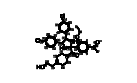 CCOc1cc([S+](C)[O-])ccc1C1(C(=O)N2CCN(CCO)CC2)NC(c2ccc(Cl)cc2)C(c2ccc(Cl)cc2)N1